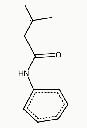 C[C](C)CC(=O)Nc1ccccc1